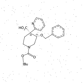 CC(C)(C)OC(=O)N1CC[C@@](C(=O)O)(c2ccccn2)[C@H](OCc2ccccc2)C1